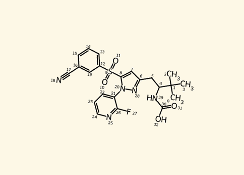 CC(C)(C)C(Cc1cc(S(=O)(=O)c2cccc(C#N)c2)n(-c2cccnc2F)n1)NC(=O)O